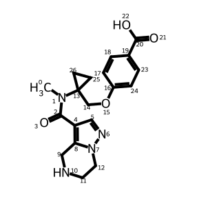 CN(C(=O)c1cnn2c1CNCC2)C1(COc2ccc(C(=O)O)cc2)CC1